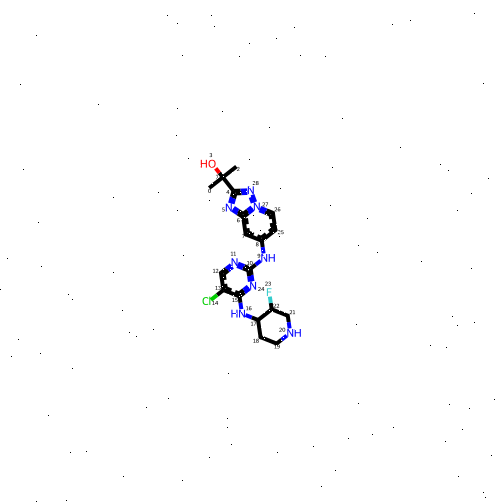 CC(C)(O)c1nc2cc(Nc3ncc(Cl)c(NC4CCNCC4F)n3)ccn2n1